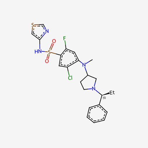 CC[C@@H](c1ccccc1)N1CCC(N(C)c2cc(F)c(S(=O)(=O)Nc3cscn3)cc2Cl)C1